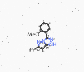 COc1ccccc1-c1n[nH]c2cc(C(C)C)nn12